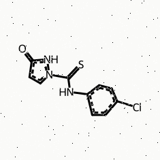 O=c1ccn(C(=S)Nc2ccc(Cl)cc2)[nH]1